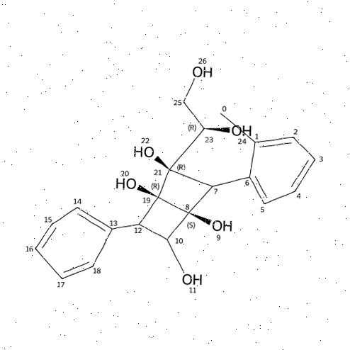 Cc1ccccc1C1[C@]2(O)C(O)C(c3ccccc3)[C@]2(O)[C@]1(O)[C@H](O)CO